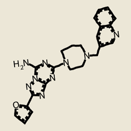 Nc1nc(N2CCCN(Cc3cnc4ccccc4c3)CC2)nc2nc(-c3ccco3)nn12